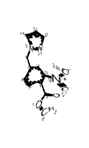 COC(=O)c1ccc(Cn2cccn2)cc1[N+](=O)[O-]